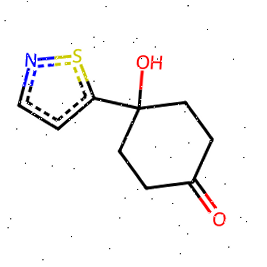 O=C1CCC(O)(c2ccns2)CC1